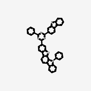 c1ccc(-c2nc(-c3ccc4c(c3)oc3c4ccc4c5ccccc5n(-c5ccccc5)c43)nc(-c3ccc4c(c3)sc3ccccc34)n2)cc1